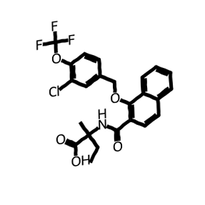 CCC(C)(NC(=O)c1ccc2ccccc2c1OCc1ccc(OC(F)(F)F)c(Cl)c1)C(=O)O